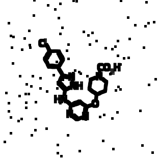 O=C(O)N1CCC(Oc2cc(Nc3cc(-c4ccc(Cl)cc4)n[nH]3)ncn2)CC1